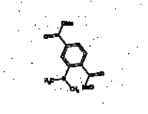 COC(=O)c1ccc(C(=O)OC)c(N(C)C)c1